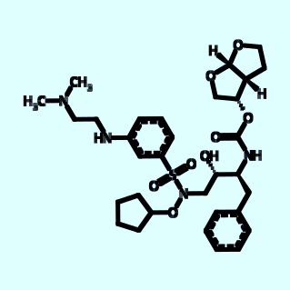 CN(C)CCNc1cccc(S(=O)(=O)N(C[C@H](O)[C@H](Cc2ccccc2)NC(=O)O[C@@H]2CO[C@@H]3OCC[C@@H]32)OC2CCCC2)c1